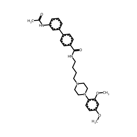 COc1ccc(N2CCN(CCCCNC(=O)c3ccc(-c4cccc(NC(C)=O)c4)cc3)CC2)c(OC)c1